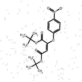 CC(C)(C)OC(=O)C=C(Oc1ccc([N+](=O)[O-])cc1)C(=O)OC(C)(C)C